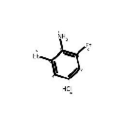 CCc1cccc(CC)c1N.Cl